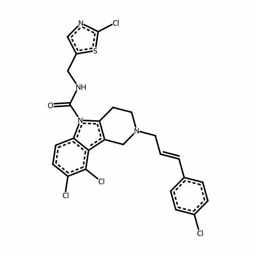 O=C(NCc1cnc(Cl)s1)n1c2c(c3c(Cl)c(Cl)ccc31)CN(C/C=C/c1ccc(Cl)cc1)CC2